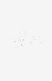 CC(C)(C)OC(=O)NC(CC=O)(Cc1ccccc1F)N1CCC[C@H]1CNC(=O)c1ccccc1